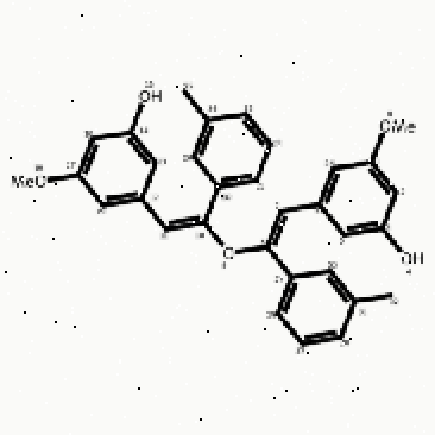 COc1cc(O)cc(/C=C(/O/C(=C/c2cc(O)cc(OC)c2)c2cccc(C)c2)c2cccc(C)c2)c1